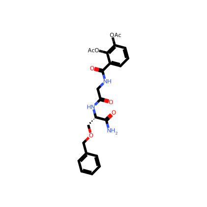 CC(=O)Oc1cccc(C(=O)NCC(=O)N[C@@H](COCc2ccccc2)C(N)=O)c1OC(C)=O